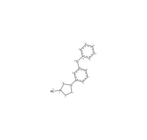 N#CN1CCC(c2cccc(Oc3ccccc3)c2)C1